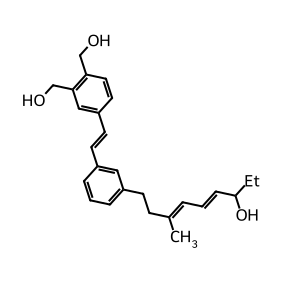 CCC(O)C=CC=C(C)CCc1cccc(C=Cc2ccc(CO)c(CO)c2)c1